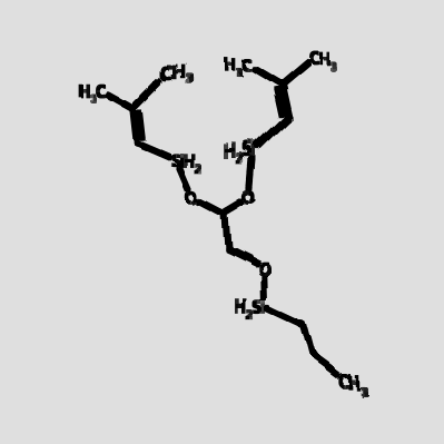 CCC[SiH2]OCC(O[SiH2]C=C(C)C)O[SiH2]C=C(C)C